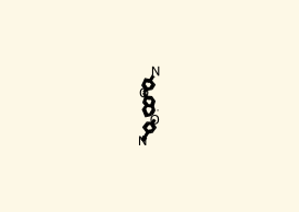 N#Cc1ccc(Oc2[c]c3ccc(Oc4ccc(C#N)cc4)cc3cc2)cc1